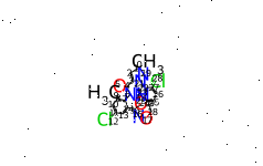 Cc1cc(C(=O)Nc2c(C)cc(Cl)cc2C2=NOCCO2)n(-c2ncccc2Cl)n1